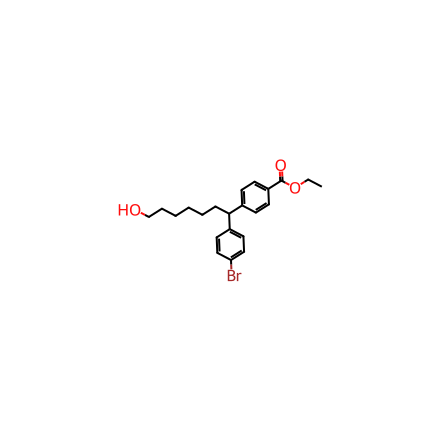 CCOC(=O)c1ccc(C(CCCCCCO)c2ccc(Br)cc2)cc1